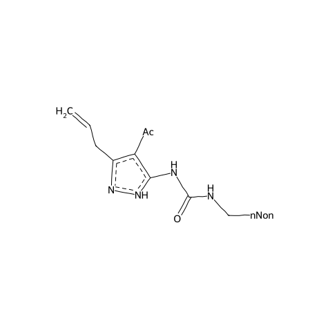 C=CCc1n[nH]c(NC(=O)NCCCCCCCCCC)c1C(C)=O